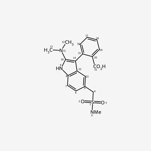 CNS(=O)(=O)Cc1ccc2[nH]c(N(C)C)c(-c3ccccc3C(=O)O)c2c1